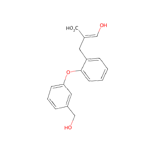 O=C(O)C(=CO)Cc1ccccc1Oc1cccc(CO)c1